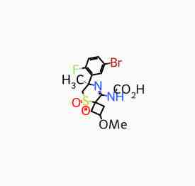 COC1CC2(C1)C(NC(=O)O)=N[C@](C)(c1cc(Br)ccc1F)CS2(=O)=O